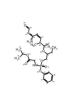 CCC(COP(=O)(NCC(=O)OC(C)C)Oc1ccccc1)OC(C)N(C)/C=C\C(N)=N/C=O